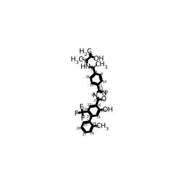 C=C(O)[C@@H](C)N[C@H](C)c1ccc(-c2noc(-c3cc(C(F)(F)F)c(-c4ccccc4C)cc3O)n2)cc1